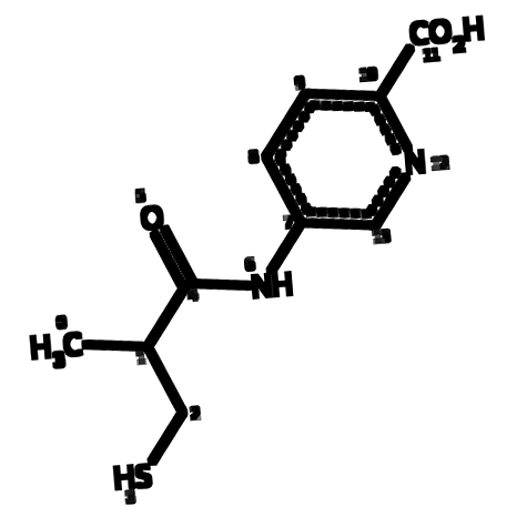 CC(CS)C(=O)Nc1ccc(C(=O)O)nc1